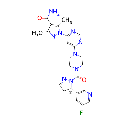 Cc1nn(-c2cc(N3CCN(C(=O)N4N=CC[C@H]4c4cncc(F)c4)CC3)ncn2)c(C)c1C(N)=O